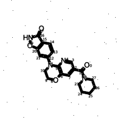 O=C(c1cnc2c(c1)OCCN2c1ccc2c(=O)[nH]oc2c1)N1CCCCC1